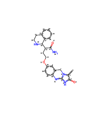 C=c1c(=O)[nH]c2n1Cc1cc(OCCC(C(N)=O)C3NCCc4ccccc43)ccc1N=2